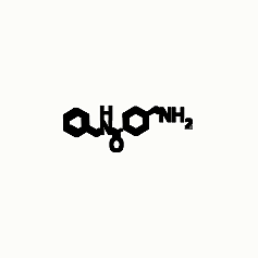 NC[C@H]1CC[C@H](C(=O)NCc2ccccc2)CC1